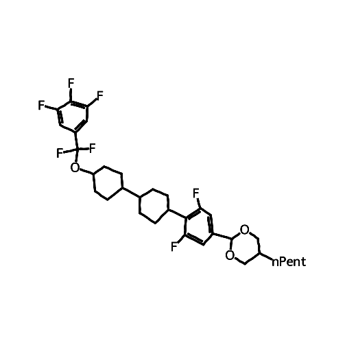 CCCCCC1COC(c2cc(F)c(C3CCC(C4CCC(OC(F)(F)c5cc(F)c(F)c(F)c5)CC4)CC3)c(F)c2)OC1